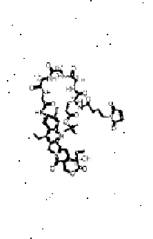 CCc1c2c(nc3cc(F)c(NC(=O)CNC(=O)[C@H](C)NC(=O)[C@H](C)NC(=O)[C@H](C)NC(=O)[C@H](CCC(=O)OC(C)(C)C)NC(=O)CCCN4C(=O)C=CC4=O)cc13)-c1cc3c(c(=O)n1C2)COC(=O)[C@]3(O)CC